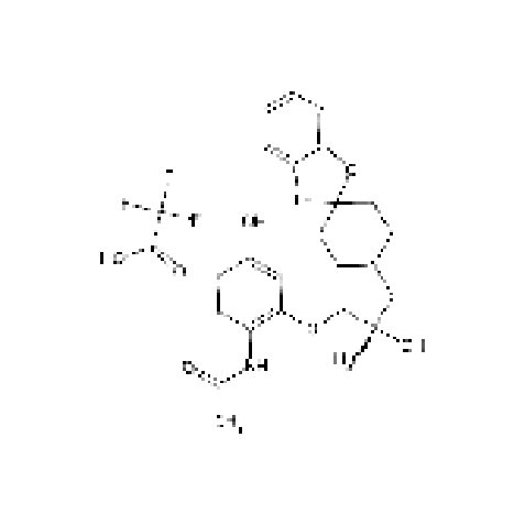 CC(=O)Nc1ccc(O)cc1OC[C@@](C)(O)CN1CCC2(CC1)Oc1ccccc1O2.O=C(O)C(F)(F)F